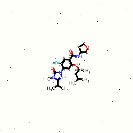 CC(C)C[C@H](C)Oc1cc(-n2nc(C(C)C)n(C)c2=O)c(F)cc1C(=O)NC1CCOC1